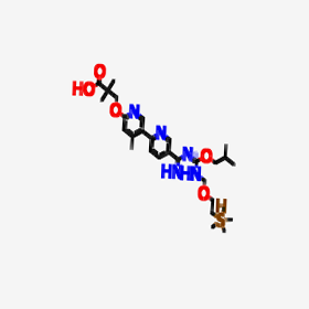 Cc1cc(OCC(C)(C)C(=O)O)ncc1-c1ccc(C(=N)/N=C(\NCOCC[SH](C)(C)(C)C)OCC(C)C)cn1